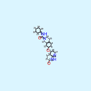 O=C1CCc2c(Oc3ccc4c(c3)CN(C(=O)Nc3ccccc3)CC4)ccnc2N1